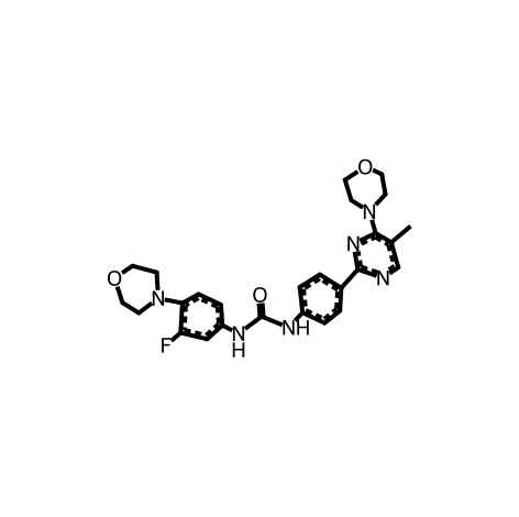 Cc1cnc(-c2ccc(NC(=O)Nc3ccc(N4CCOCC4)c(F)c3)cc2)nc1N1CCOCC1